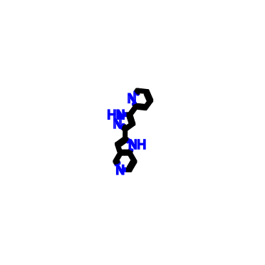 c1ccc(-c2cc(-c3cc4cnccc4[nH]3)n[nH]2)nc1